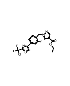 CCOC(=O)c1cnn(Cc2ccc(-c3noc(C(F)(F)Cl)n3)cc2F)c1